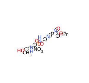 CC(C)Oc1ccccc1[C@@H]1COCCN1C1CC2(CCN(c3ccc(C(=O)NS(=O)(=O)c4ccc(NCC5CCC(C)(O)CC5)c([N+](=O)[O-])c4)cc3)CC2)C1